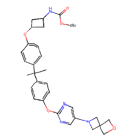 CC(C)(C)OC(=O)NC1CC(Oc2ccc(C(C)(C)c3ccc(Oc4ncc(N5CC6(COC6)C5)cn4)cc3)cc2)C1